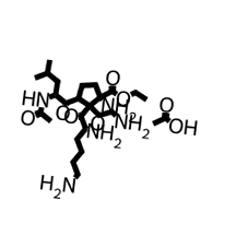 CC(=O)O.CCOC(=O)C1(N)CCC(C(=O)C(CC(C)C)NC(C)=O)C1(C(=O)CN)C(=O)C(N)CCCCN